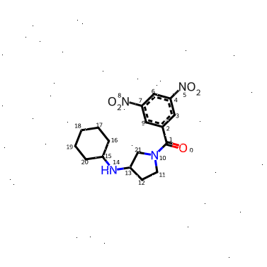 O=C(c1cc([N+](=O)[O-])cc([N+](=O)[O-])c1)N1CCC(NC2CCCCC2)C1